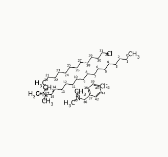 CCCCCCCCCCCCCCCC[N+](C)(C)C.CCCCCCCCCCCCCl.CN(C)Cc1ccccc1.[Cl-]